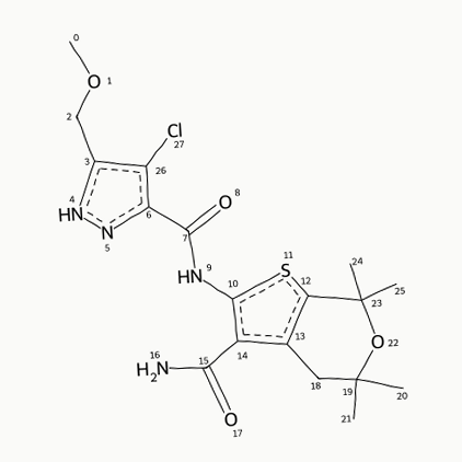 COCc1[nH]nc(C(=O)Nc2sc3c(c2C(N)=O)CC(C)(C)OC3(C)C)c1Cl